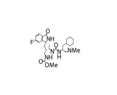 CNC[C@H](CC1CCCCC1)NC(=O)N(C)CC[C@@]1(CCCNC(=O)OC)NC(=O)c2ccc(F)cc21